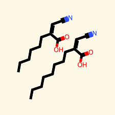 CCCCCC/C(=C/C#N)C(=O)O.CCCCCCCC/C(=C/C#N)C(=O)O